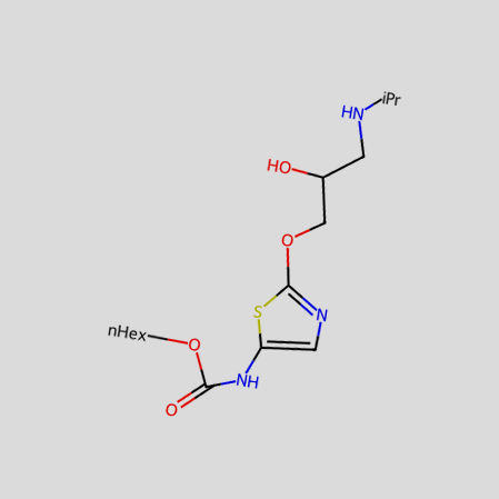 CCCCCCOC(=O)Nc1cnc(OCC(O)CNC(C)C)s1